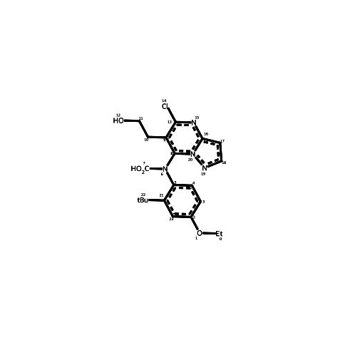 CCOc1ccc(N(C(=O)O)c2c(CCO)c(Cl)nc3ccnn23)c(C(C)(C)C)c1